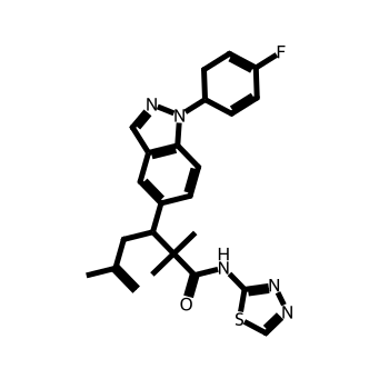 C=C(C)CC(c1ccc2c(cnn2C2C=CC(F)=CC2)c1)C(C)(C)C(=O)Nc1nncs1